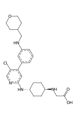 O=C(O)CN[C@H]1CC[C@H](Nc2cc(-c3cccc(NCC4CCOCC4)c3)c(Cl)cn2)CC1